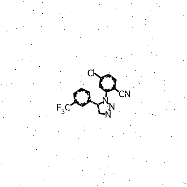 N#Cc1ccc(Cl)cc1N1N=NCC1c1cccc(C(F)(F)F)c1